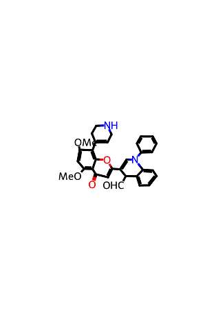 COc1cc(OC)c2c(=O)cc(C3=CN(c4ccccc4)c4ccccc4C3C=O)oc2c1C1=CCNCC1